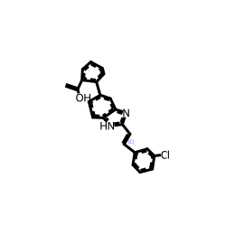 C=C(O)c1ccccc1-c1ccc2[nH]c(/C=C/c3cccc(Cl)c3)nc2c1